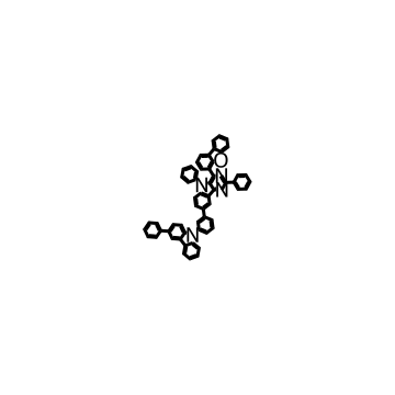 c1ccc(-c2ccc3c(c2)c2ccccc2n3-c2cccc(-c3ccc4c(c3)c3nc(-c5ccccc5)nc(-c5cccc6c5oc5ccccc56)c3n4-c3ccccc3)c2)cc1